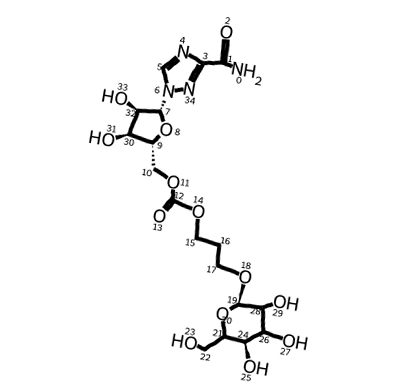 NC(=O)c1ncn([C@@H]2O[C@H](COC(=O)OCCCO[C@@H]3OC(CO)[C@H](O)C(O)C3O)[C@@H](O)[C@H]2O)n1